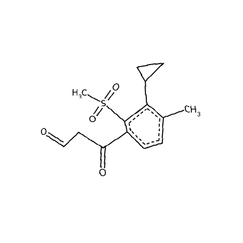 Cc1ccc(C(=O)CC=O)c(S(C)(=O)=O)c1C1CC1